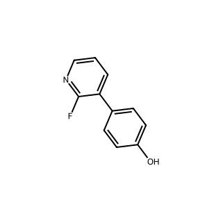 Oc1ccc(-c2cccnc2F)cc1